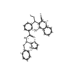 CCC(c1cccc(C(=O)NC(Cc2ccccc2)c2ncc[nH]2)c1)c1c(O)c2ccccc2oc1=O